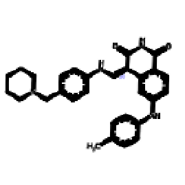 Cc1ccc(Nc2ccc3c(c2)/C(=C/Nc2ccc(CN4CCCCC4)cc2)C(=O)NC3=O)cc1